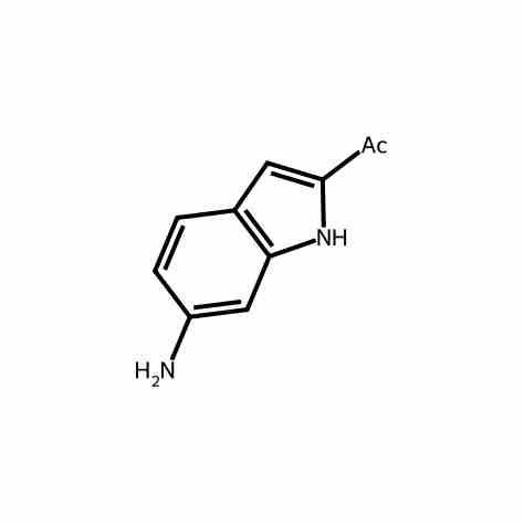 CC(=O)c1cc2ccc(N)cc2[nH]1